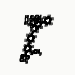 COC(=O)c1ccc(-c2ccc(CCN(C[C@H](O)c3ccccc3)C(=O)OC(C)(C)C)cc2)cc1SC